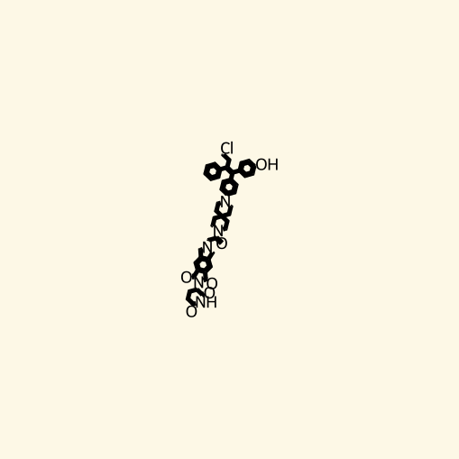 O=C1CCC(N2C(=O)c3cc4c(cc3C2=O)CN(CC(=O)N2CCC3(CC2)CCN(c2ccc(C(=C(CCCl)c5ccccc5)c5ccc(O)cc5)cc2)CC3)C4)C(=O)N1